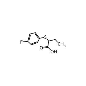 CCC(Sc1ccc(F)cc1)C(=O)O